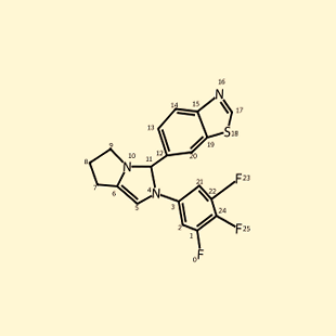 Fc1cc(N2C=C3CCCN3C2c2ccc3ncsc3c2)cc(F)c1F